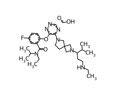 CCNCCC(C(C)C)N1CC2(CCN(c3ncnnc3Oc3ccc(F)cc3C(=O)N(CC)C(C)C)C2)C1.O=CO